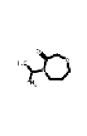 CC(C)N1CCCOCC1=O